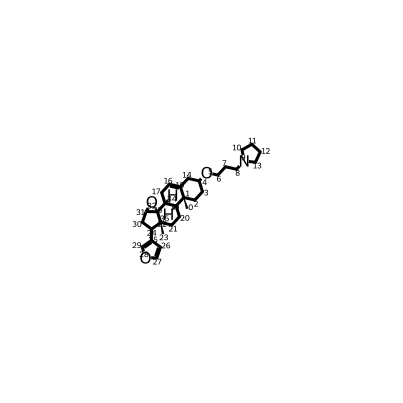 C[C@]12CCC(OCCCN3CCCC3)CC1=CC[C@@H]1[C@H]2CC[C@]2(C)C(c3ccoc3)CC3O[C@]312